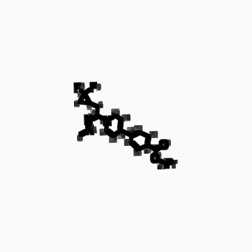 C=N/N=C(/CC1CC1(F)F)N1C=CC(c2ccc(C(=O)OC(C)C)cc2)=CC1